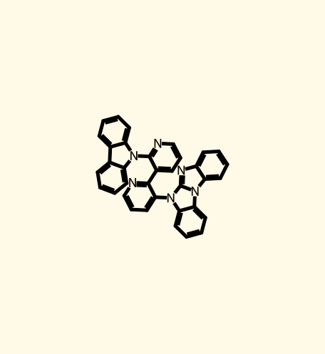 c1cnc(-n2c3ccccc3c3ccccc32)c(-c2ncccc2-n2c3ccccc3n3c4ccccc4nc23)c1